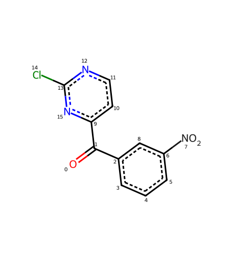 O=C(c1cccc([N+](=O)[O-])c1)c1ccnc(Cl)n1